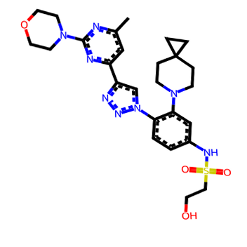 Cc1cc(-c2cn(-c3ccc(NS(=O)(=O)CCO)cc3N3CCC4(CC3)CC4)nn2)nc(N2CCOCC2)n1